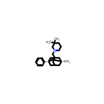 CC1(C)CCCN(CC23CC4C[C@](C)(C2)C[C@@](c2ccccc2)(C4)C3)C1